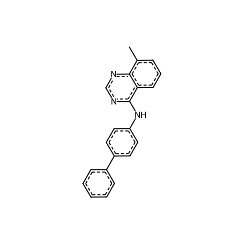 Cc1cccc2c(Nc3ccc(-c4ccccc4)cc3)ncnc12